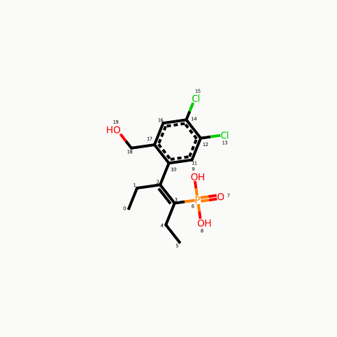 CCC(=C(CC)P(=O)(O)O)c1cc(Cl)c(Cl)cc1CO